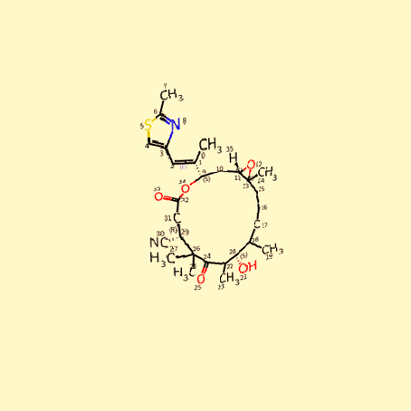 C/C(=C\c1csc(C)n1)[C@@H]1C[C@@H]2O[C@]2(C)CCCC(C)[C@H](O)C(C)C(=O)C(C)(C)[C@H](C#N)CC(=O)O1